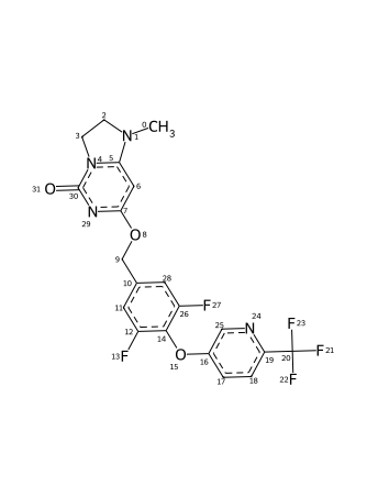 CN1CCn2c1cc(OCc1cc(F)c(Oc3ccc(C(F)(F)F)nc3)c(F)c1)nc2=O